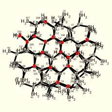 BBB(B)B(B(B)B)B(B(B(B(B)B)B(B)B)B(B(B)B)B(B)B)B(B(B(B(B(B)B)B(B)B)B(B(B)B)B(B)B)B(B(B(B)B)B(B)B)B(B(B)B)B(B)B)B(B(B(B(B(B)B)B(B)B)B(B(B)B)B(B)B)B(B(B(B)B)B(B)B)B(B(B)B)B(B)B)B(B(B(B(B)B)B(B)B)B(B(B)B)B(B)B)B(B(B(B)B)B(B)B)B(B(B)B)B(B)B